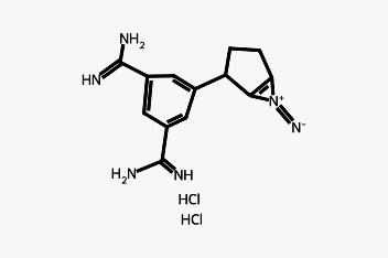 Cl.Cl.[N-]=[N+]1C2=C1C(c1cc(C(=N)N)cc(C(=N)N)c1)CC2